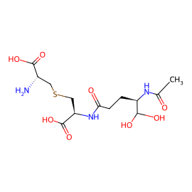 CC(=O)N[C@H](CCC(=O)N[C@H](CSC[C@H](N)C(=O)O)C(=O)O)C(O)O